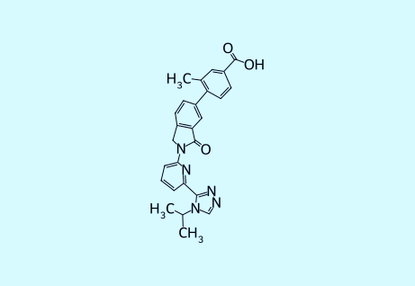 Cc1cc(C(=O)O)ccc1-c1ccc2c(c1)C(=O)N(c1cccc(-c3nncn3C(C)C)n1)C2